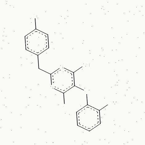 COc1ccccc1Oc1c(N)nc(Cc2ccc(Br)cc2)nc1Cl